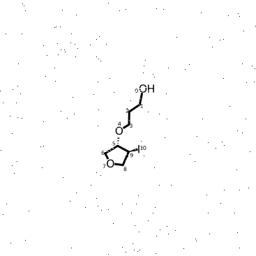 OCCCO[C@H]1COC[C@@H]1I